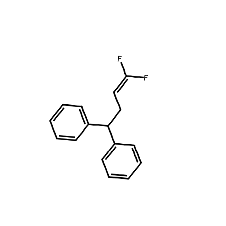 FC(F)=CCC(c1ccccc1)c1ccccc1